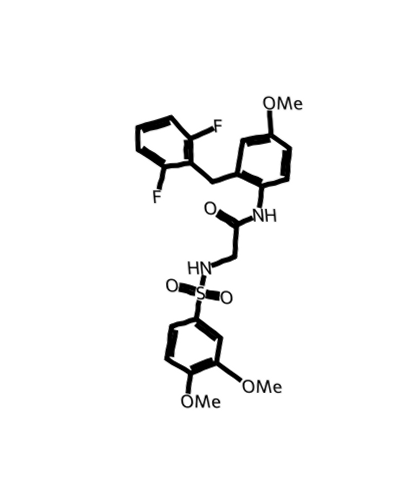 COc1ccc(NC(=O)CNS(=O)(=O)c2ccc(OC)c(OC)c2)c(Cc2c(F)cccc2F)c1